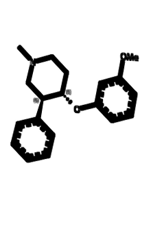 COc1cccc(O[C@H]2CCN(C)C[C@@H]2c2ccccc2)c1